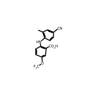 Cc1cc(C#N)ccc1Nc1ccc(OC(F)(F)F)cc1C(=O)O